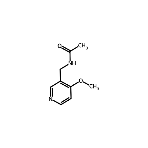 COc1ccncc1CNC(C)=O